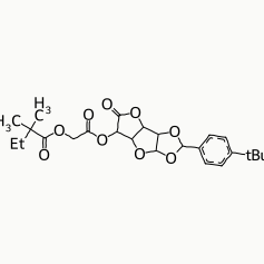 CCC(C)(C)C(=O)OCC(=O)OC1C(=O)OC2C3OC(c4ccc(C(C)(C)C)cc4)OC3OC12